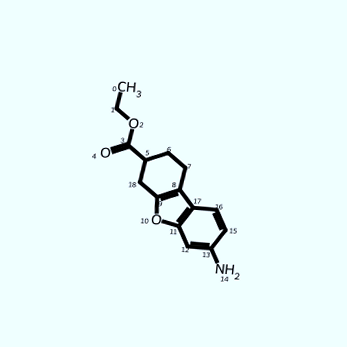 CCOC(=O)C1CCc2c(oc3cc(N)ccc23)C1